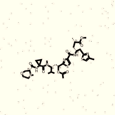 COC(=O)[C@@H](C)C[C@H](Cc1nc(C)cs1)NC(=O)c1csc([C@@H](C[C@H](C(C)C)N(C)C(=O)C2(NC(=O)[C@H]3COCCN3C)CC2)OC(C)=O)n1